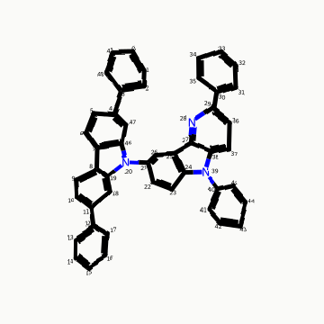 c1ccc(-c2ccc3c4ccc(-c5ccccc5)cc4n(-c4ccc5c(c4)c4nc(-c6ccccc6)ccc4n5-c4ccccc4)c3c2)cc1